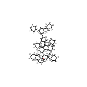 c1ccc(-c2nc(-c3cc(-c4ccccc4)c(-n4c5ccc(-n6c7ccccc7c7ccccc76)cc5c5c(-n6c7ccccc7c7ccccc76)cccc54)c(-c4ccccc4)c3)c3sc4ccccc4c3n2)cc1